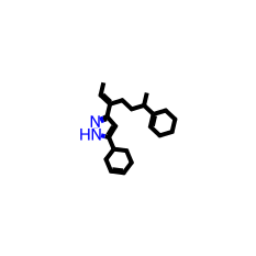 C/C=C(\CCC(C)C1=CCCCC1)c1cc(C2CC=CCC2)[nH]n1